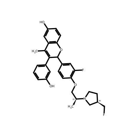 CC1=C(c2cccc(O)c2)C(c2ccc(OC[C@H](C)N3CC[C@@H](CF)C3)c(F)c2)Oc2ccc(O)cc21